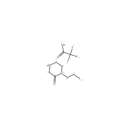 O=C(O)C(F)(F)F.O=C1CNCCN1CCF